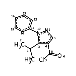 CC(C)c1c(C(=O)Cl)cnn1-c1ccccc1